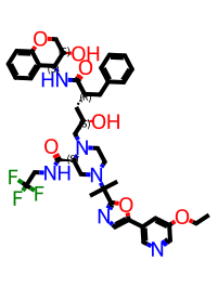 CCOc1cncc(-c2cnc(C(C)(C)N3CCN(C[C@@H](O)C[C@@H](Cc4ccccc4)C(=O)N[C@H]4c5ccccc5OC[C@H]4O)[C@H](C(=O)NCC(F)(F)F)C3)o2)c1